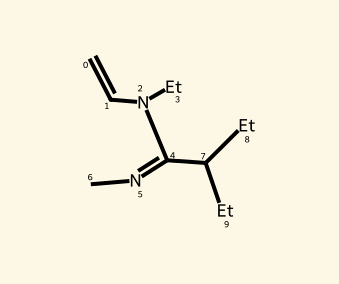 C=CN(CC)/C(=N\C)C(CC)CC